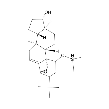 C[SiH](C)OC1CC(C(C)(C)C)CC2=CC[C@H]3[C@@H]4CC[C@H](O)[C@@]4(C)CC[C@@H]3[C@]21CO